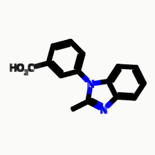 Cc1nc2ccccc2n1-c1cccc(C(=O)O)c1